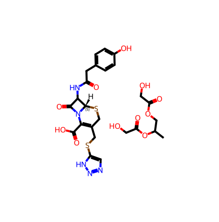 CC(COC(=O)CO)OC(=O)CO.O=C(Cc1ccc(O)cc1)NC1C(=O)N2C(C(=O)O)=C(CSc3cnn[nH]3)CS[C@@H]12